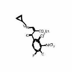 CCOC(=O)/C(=C/NC1CC1)C(=O)c1cc(F)c(Cl)c([N+](=O)[O-])c1Cl